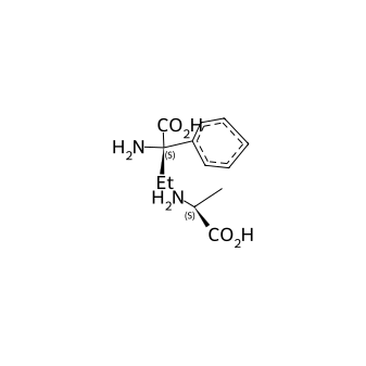 CC[C@@](N)(C(=O)O)c1ccccc1.C[C@H](N)C(=O)O